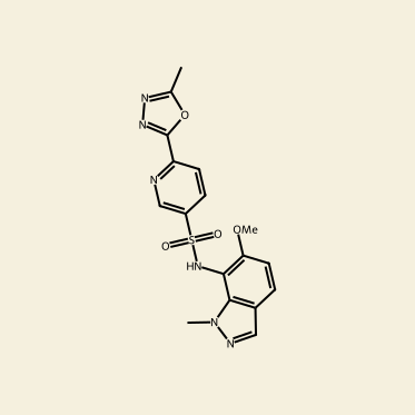 COc1ccc2cnn(C)c2c1NS(=O)(=O)c1ccc(-c2nnc(C)o2)nc1